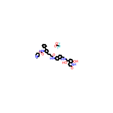 C[N+]1(C)CCC(OC(=O)Nc2cc(CCCC(=O)Nc3ccc4cc(CNC[C@H](O)c5ccc(O)c6[nH]c(=O)ccc56)ccc4c3)ccc2-c2ccccc2)CC1.O=C([O-])C(F)(F)F